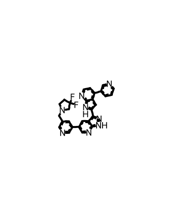 FC1(F)CCN(Cc2cncc(-c3cnc4[nH]nc(-c5cc6c(-c7cccnc7)ccnc6[nH]5)c4c3)c2)C1